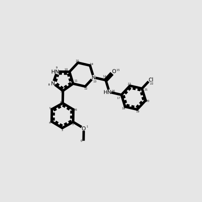 COc1cccc(-c2n[nH]c3c2CN(C(=O)Nc2cccc(Cl)c2)CC3)c1